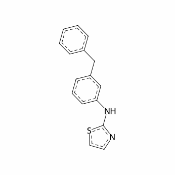 c1ccc(Cc2cccc(Nc3nccs3)c2)cc1